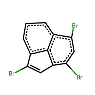 BrC1=Cc2c(Br)cc(Br)c3cccc1c23